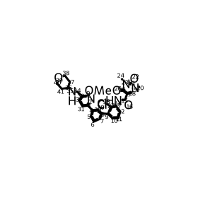 COc1nc(-c2cccc(-c3cccc(NC(=O)c4cn(C)c(=O)n(C)c4=O)c3Cl)c2Cl)ccc1CNC1CCOCC1